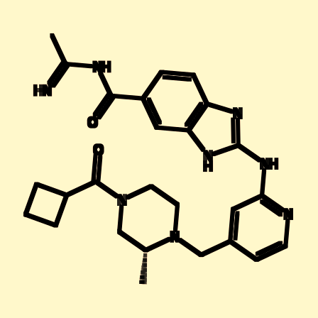 CC(=N)NC(=O)c1ccc2nc(Nc3cc(CN4CCN(C(=O)C5CCC5)C[C@H]4C)ccn3)[nH]c2c1